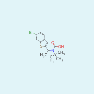 CC(c1cc2ccc(Br)cc2s1)N(C(=O)O)C(C)(C)C